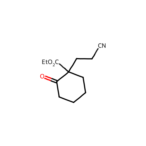 CCOC(=O)C1(CCC#N)CCCCC1=O